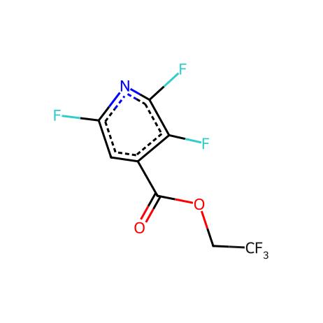 O=C(OCC(F)(F)F)c1cc(F)nc(F)c1F